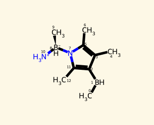 CBc1c(C)c(C)n([B@H-](C)[NH3+])c1C